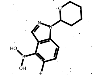 OB(O)c1c(F)ccc2c1cnn2C1CCCCO1